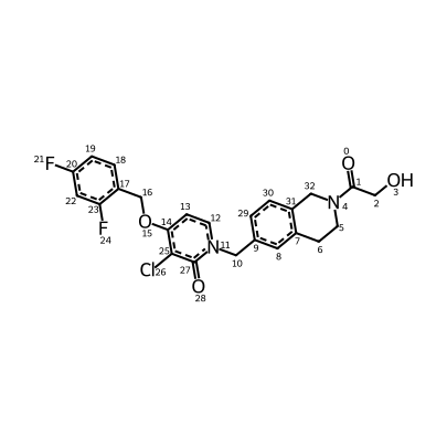 O=C(CO)N1CCc2cc(Cn3ccc(OCc4ccc(F)cc4F)c(Cl)c3=O)ccc2C1